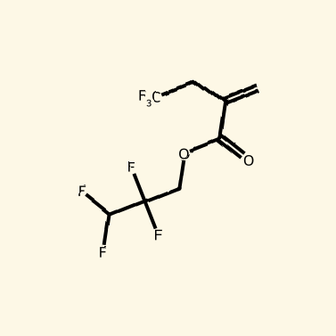 C=C(CC(F)(F)F)C(=O)OCC(F)(F)C(F)F